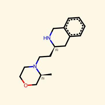 C[C@H]1COCCN1CC[C@@H]1Cc2ccccc2CN1